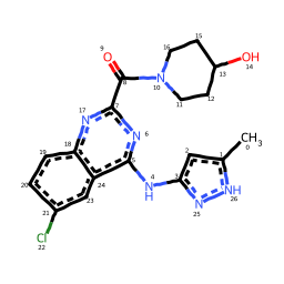 Cc1cc(Nc2nc(C(=O)N3CCC(O)CC3)nc3ccc(Cl)cc23)n[nH]1